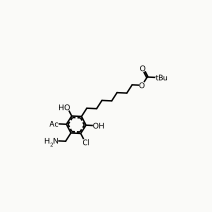 CC(=O)c1c(O)c(CCCCCCCOC(=O)C(C)(C)C)c(O)c(Cl)c1CN